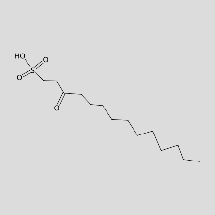 CCCCCCCCCCCC(=O)CCS(=O)(=O)O